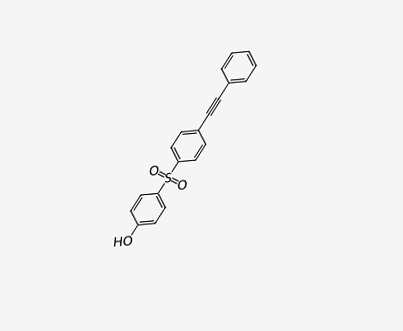 O=S(=O)(c1ccc(O)cc1)c1ccc(C#Cc2ccccc2)cc1